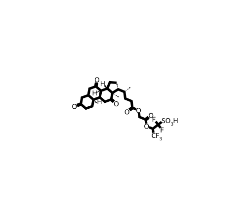 C[C@H](CCC(=O)OCC(=O)OC(C(F)(F)F)C(F)(F)S(=O)(=O)O)[C@H]1CC[C@H]2[C@@H]3C(=O)CC4CC(=O)CC[C@]4(C)[C@H]3CC(=O)[C@]12C